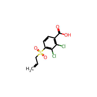 C=CCS(=O)(=O)c1ccc(C(=O)O)c(Cl)c1Cl